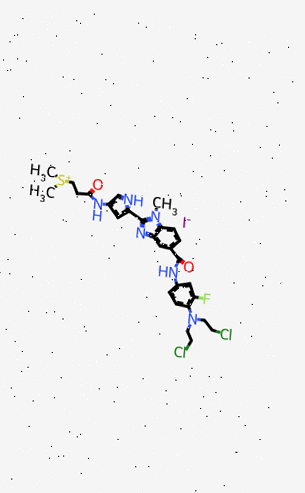 Cn1c(-c2cc(NC(=O)CC[S+](C)C)c[nH]2)nc2cc(C(=O)Nc3ccc(N(CCCl)CCCl)c(F)c3)ccc21.[I-]